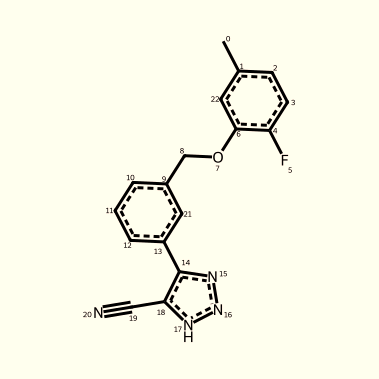 Cc1ccc(F)c(OCc2cccc(-c3nn[nH]c3C#N)c2)c1